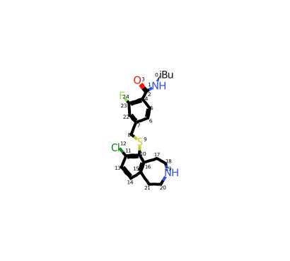 CC[C@H](C)NC(=O)c1ccc(CSc2c(Cl)ccc3c2CCNCC3)cc1F